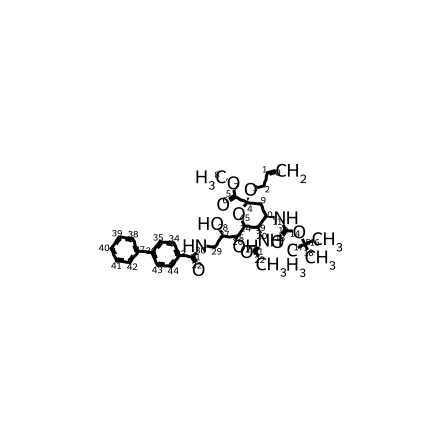 C=CCO[C@]1(C(=O)OC)C[C@@H](NC(=O)OC(C)(C)C)[C@@H](NC(C)=O)C([C@H](O)[C@H](O)CNC(=O)c2ccc(-c3ccccc3)cc2)O1